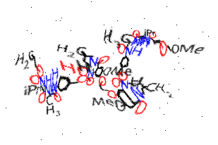 C=CCOC(=O)N[C@H](C(=O)NC(C)C(=O)Nc1ccc(COC(=O)N2c3cc(OCCCOc4cc5c(cc4OC)C(=O)N4CC(=C)C[C@H]4CN5C(=O)OCc4ccc(NC(=O)C(C)NC(=O)[C@@H](NC(=O)CCOCCOC)C(C)C)cc4)c(OC)cc3C(=O)N3CC(=C)C[C@H]3[C@@H]2O)cc1)C(C)C